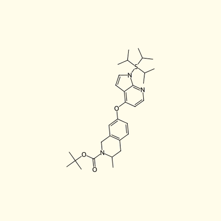 CC1Cc2ccc(Oc3ccnc4c3ccn4S(C(C)C)(C(C)C)C(C)C)cc2CN1C(=O)OC(C)(C)C